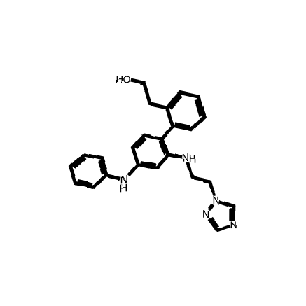 OCCc1ccccc1-c1ccc(Nc2ccccc2)cc1NCCn1cncn1